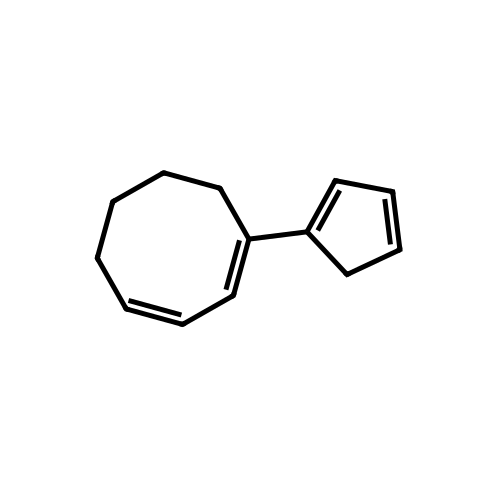 C1=CCCCCC(C2=CC=CC2)=C1